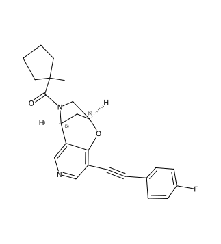 CC1(C(=O)N2C[C@@H]3C[C@H]2c2cncc(C#Cc4ccc(F)cc4)c2O3)CCCC1